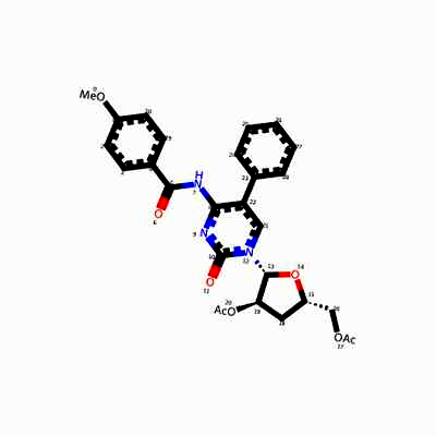 COc1ccc(C(=O)Nc2nc(=O)n([C@@H]3O[C@H](COC(C)=O)C[C@H]3OC(C)=O)cc2-c2ccccc2)cc1